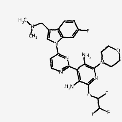 CN(C)Cc1cn(-c2ccnc(-c3c(N)c(OC(F)C(F)F)nc(N4CCOCC4)c3N)n2)c2cc(F)ccc12